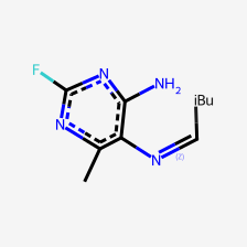 CCC(C)/C=N\c1c(C)nc(F)nc1N